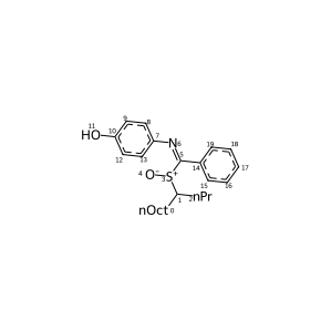 CCCCCCCCC(CCC)[S+]([O-])C(=Nc1ccc(O)cc1)c1ccccc1